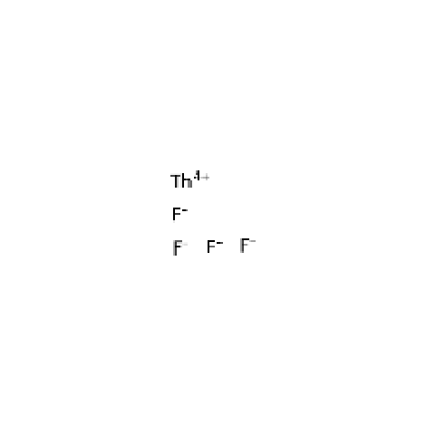 [F-].[F-].[F-].[F-].[Th+4]